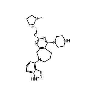 CN1CCC[C@H]1COc1nc2c(c(N3CCNCC3)n1)CCCN(c1cccc3[nH]ncc13)C2